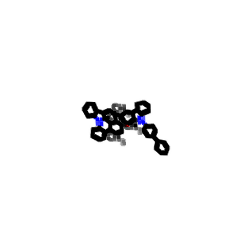 CC1C=CC2(C)C3=C1C(C)(c1ccc4c(c1)c1ccccc1n4-c1ccc(-c4ccccc4)cc1)C=C1c4ccccc4N(c4ccccc42)C13C